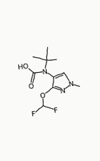 Cn1cc(N(C(=O)O)C(C)(C)C)c(OC(F)F)n1